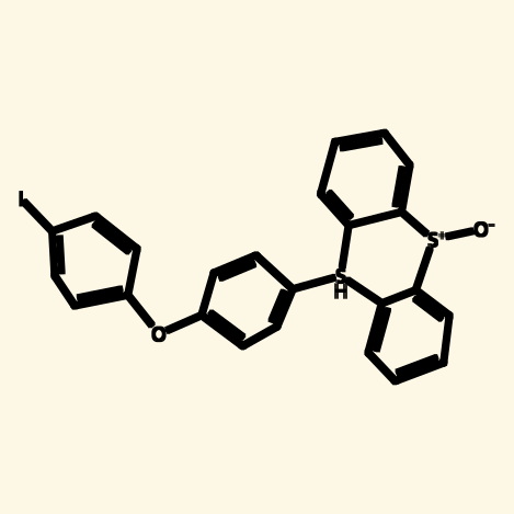 [O-][S+]1c2ccccc2[SH](c2ccc(Oc3ccc(I)cc3)cc2)c2ccccc21